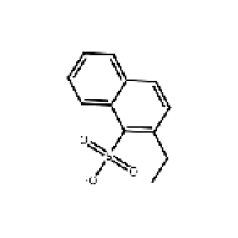 CCc1ccc2ccccc2c1S([O])(=O)=O